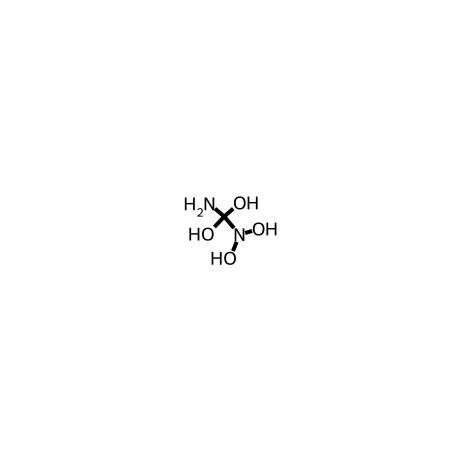 NC(O)(O)N(O)O